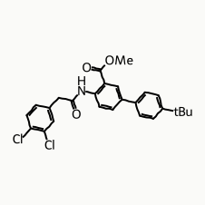 COC(=O)c1cc(-c2ccc(C(C)(C)C)cc2)ccc1NC(=O)Cc1ccc(Cl)c(Cl)c1